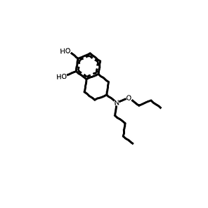 CCCCN(OCCC)C1CCc2c(ccc(O)c2O)C1